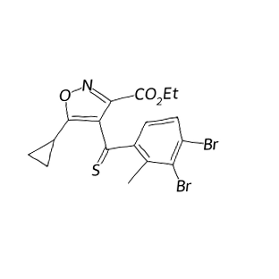 CCOC(=O)c1noc(C2CC2)c1C(=S)c1ccc(Br)c(Br)c1C